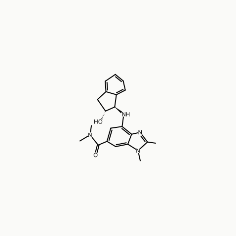 Cc1nc2c(N[C@@H]3c4ccccc4C[C@H]3O)cc(C(=O)N(C)C)cc2n1C